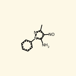 Cc1nn(-c2ccccc2)c(N)c1N=O